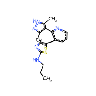 CCCNc1ncc(-c2cccnc2-c2c(C)n[nH]c2C)s1